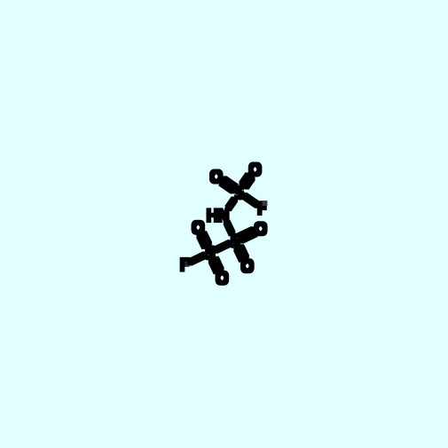 O=S(=O)(F)NS(=O)(=O)S(=O)(=O)F